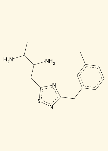 Cc1cccc(Cc2nsc(CC(N)C(C)N)n2)c1